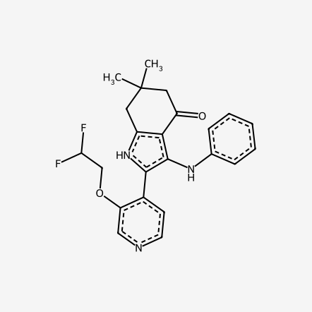 CC1(C)CC(=O)c2c([nH]c(-c3ccncc3OCC(F)F)c2Nc2ccccc2)C1